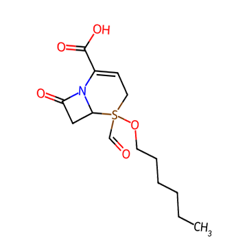 CCCCCCOS1(C=O)CC=C(C(=O)O)N2C(=O)CC21